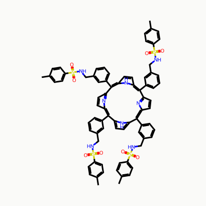 Cc1ccc(S(=O)(=O)NCc2cccc(-c3c4nc(c(-c5cccc(CNS(=O)(=O)c6ccc(C)cc6)c5)c5ccc([nH]5)c(-c5cccc(CNS(=O)(=O)c6ccc(C)cc6)c5)c5nc(c(-c6cccc(CNS(=O)(=O)c7ccc(C)cc7)c6)c6ccc3[nH]6)C=C5)C=C4)c2)cc1